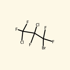 FC(F)(Cl)C(F)(Cl)C(F)(F)Br